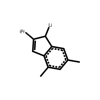 [Li][CH]1C(C(C)C)=Cc2c(C)cc(C)cc21